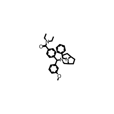 CCN(CC)C(=O)c1ccc(C(c2cccc(OC)c2)N2CCC3CCC(C2)N3Cc2ccccc2)cc1